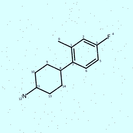 Cc1cc(F)ccc1C1CCC([N])CC1